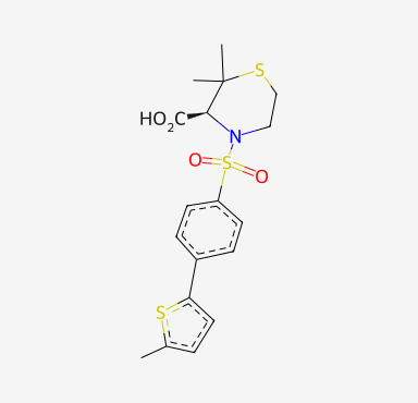 Cc1ccc(-c2ccc(S(=O)(=O)N3CCSC(C)(C)[C@@H]3C(=O)O)cc2)s1